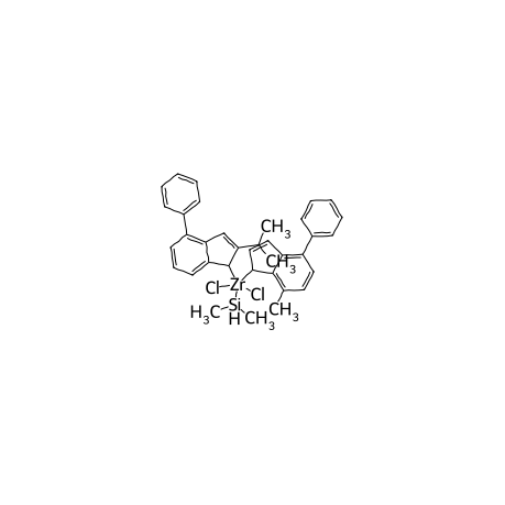 Cc1ccc(-c2ccccc2)c2c1[CH]([Zr]([Cl])([Cl])([CH]1C(C(C)C)=Cc3c(-c4ccccc4)cccc31)[SiH](C)C)C=C2